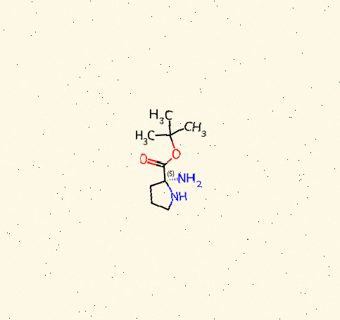 CC(C)(C)OC(=O)[C@]1(N)CCCN1